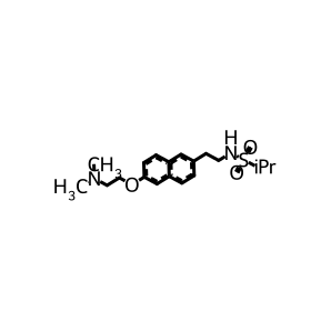 CC(C)S(=O)(=O)NCCc1ccc2cc(OCCN(C)C)ccc2c1